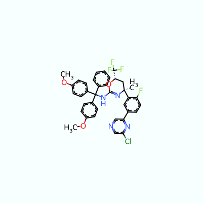 COc1ccc(C(NC2=N[C@](C)(c3cc(-c4cncc(Cl)n4)ccc3F)C[C@@H](C(F)(F)F)O2)(c2ccccc2)c2ccc(OC)cc2)cc1